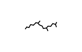 CCCCCCC(C)CCCC(C)CCCC(C)C